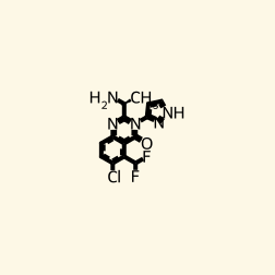 C[C@H](N)c1nc2ccc(Cl)c(C(F)F)c2c(=O)n1-c1cc[nH]n1